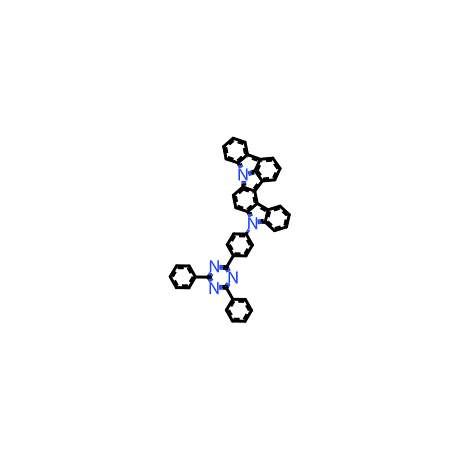 c1ccc(-c2nc(-c3ccccc3)nc(-c3ccc(-n4c5ccccc5c5c6c7cccc8c9ccccc9n(c6ccc54)c87)cc3)n2)cc1